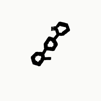 Cc1ccccc1-c1ccc(C2C=CC=CN2)cc1